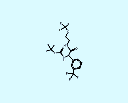 CC(C)(C)OC(=O)NC(C(=O)NCCOC(F)(F)F)c1cccc(C(F)(F)F)c1